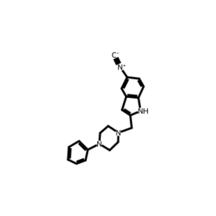 [C-]#[N+]c1ccc2[nH]c(CN3CCN(c4ccccc4)CC3)cc2c1